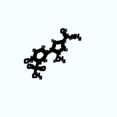 Cc1nc(C(N)=O)sc1-c1ccc(Cl)c(S(C)(=O)=O)c1